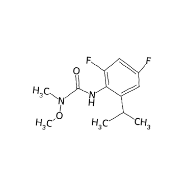 CON(C)C(=O)Nc1c(F)cc(F)cc1C(C)C